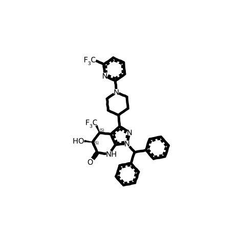 O=C1Nc2c(c(C3CCN(c4cccc(C(F)(F)F)n4)CC3)nn2C(c2ccccc2)c2ccccc2)[C@H](C(F)(F)F)[C@@H]1O